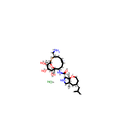 CC(C)C[C@@H]1CCO[C@@H]2[C@H](CN[C@@H]2C(=O)N[C@@H]2C/C=C\C[C@H](CN)S[C@H]3O[C@H]2[C@H](O)[C@H](O)[C@H]3O)C1.Cl